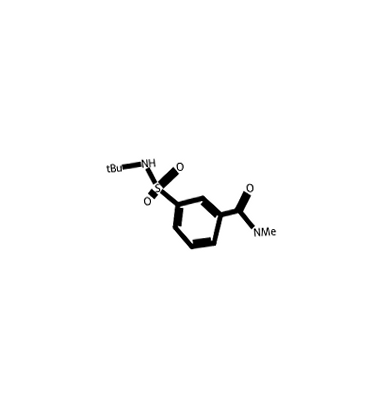 CNC(=O)c1cccc(S(=O)(=O)NC(C)(C)C)c1